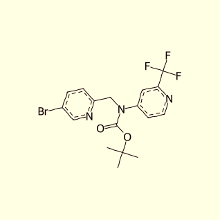 CC(C)(C)OC(=O)N(Cc1ccc(Br)cn1)c1ccnc(C(F)(F)F)c1